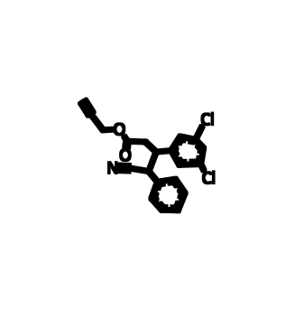 C#CCOC(=O)CC(c1cc(Cl)cc(Cl)c1)C(C#N)c1ccccc1